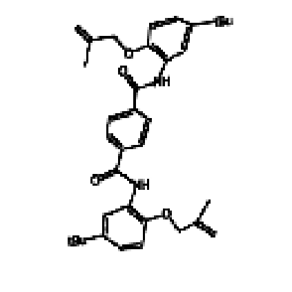 C=C(C)COc1ccc(C(C)(C)C)cc1NC(=O)c1ccc(C(=O)Nc2cc(C(C)(C)C)ccc2OCC(=C)C)cc1